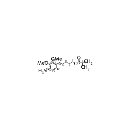 C=C(C)C(=O)OCCCCCc1ccc([SiH3])c(OC)c1OC